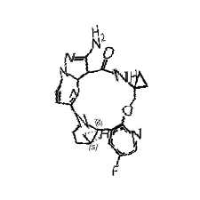 NC1=NN2C=CC3=NC2C1C(=O)NC1(CC1)COc1ncc(F)cc1[C@@]12C[C@@H]1CCN32